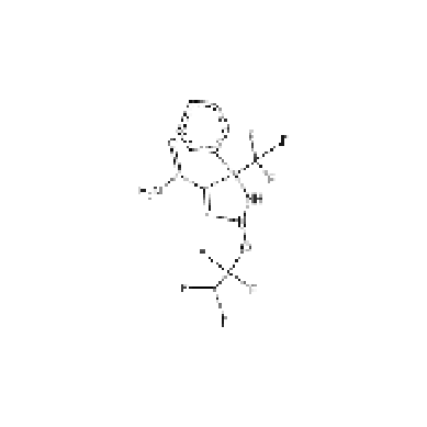 NC(=O)C1=CN(OC(F)(F)C(F)F)NC1(c1ccccc1)C(F)(F)F